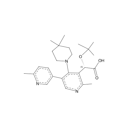 Cc1ccc(-c2cnc(C)c([C@H](OC(C)(C)C)C(=O)O)c2N2CCC(C)(C)CC2)cn1